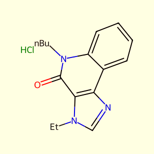 CCCCn1c(=O)c2c(ncn2CC)c2ccccc21.Cl